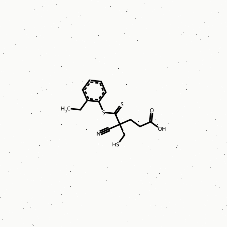 CCc1ccccc1SC(=S)C(C#N)(CS)CCC(=O)O